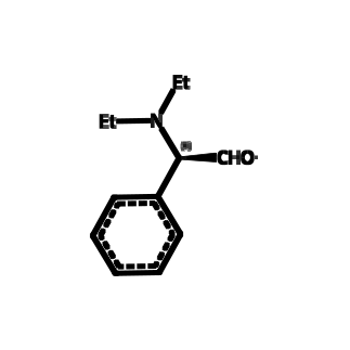 CCN(CC)[C@@H]([C]=O)c1ccccc1